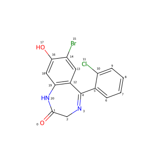 O=C1CN=C(c2ccccc2Cl)c2cc(Br)c(O)cc2N1